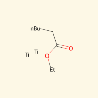 CCCCCC(=O)OCC.[Ti].[Ti]